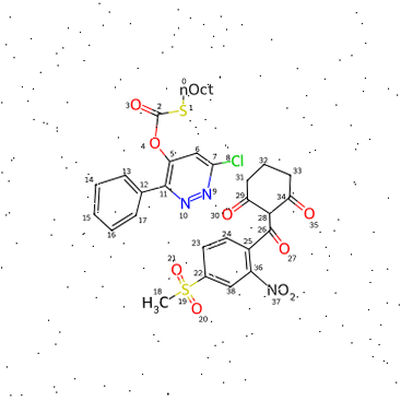 CCCCCCCCSC(=O)Oc1cc(Cl)nnc1-c1ccccc1.CS(=O)(=O)c1ccc(C(=O)C2C(=O)CCCC2=O)c([N+](=O)[O-])c1